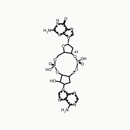 Nc1nc2c(ncn2[C@H]2C[C@H]3OP(=O)(O)OCC4CC(n5cnc6c(N)ncnc65)C(O)C4OP(=O)(O)OCC3O2)c(=O)[nH]1